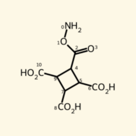 NOC(=O)C1C(C(=O)O)C(C(=O)O)C1C(=O)O